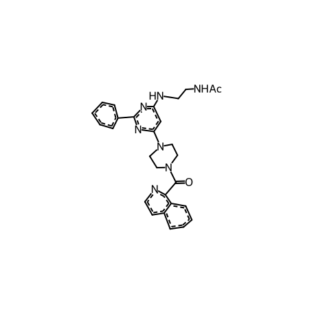 CC(=O)NCCNc1cc(N2CCN(C(=O)c3nccc4ccccc34)CC2)nc(-c2ccccc2)n1